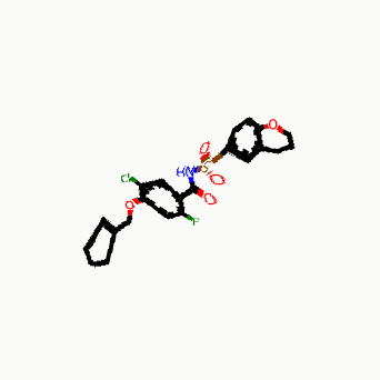 O=C(NS(=O)(=O)c1ccc2c(c1)CCCO2)c1cc(Cl)c(OCC2CCCC2)cc1F